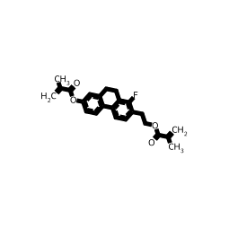 C=C(C)C(=O)OCCc1ccc2c(c1F)CCc1cc(OC(=O)C(=C)C)ccc1-2